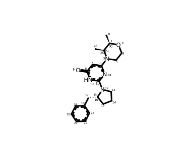 C[C@H]1OCCN(c2cc(=O)[nH]c(N3CCC[C@@H]3Cc3ccccc3)n2)[C@H]1C